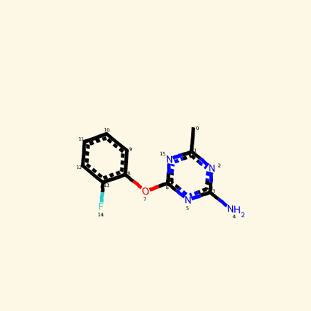 Cc1nc(N)nc(Oc2ccccc2F)n1